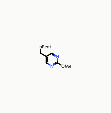 CCCCCCc1cnc(OC)nc1